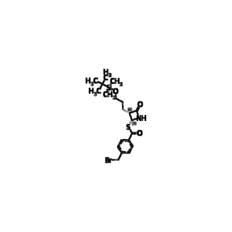 CC(C)(C)[Si](C)(C)OCCC[C@@H]1C(=O)N[C@@H]1SC(=O)c1ccc(CBr)cc1